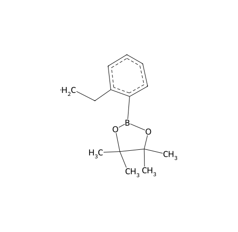 [CH2]Cc1ccccc1B1OC(C)(C)C(C)(C)O1